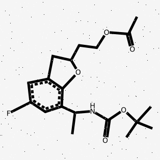 CC(=O)OCCC1Cc2cc(F)cc(C(C)NC(=O)OC(C)(C)C)c2O1